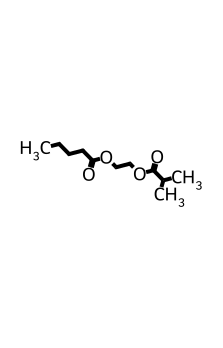 CCCCC(=O)OCCOC(=O)C(C)C